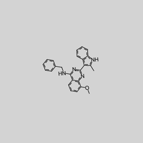 COc1cccc2c(NCc3ccccc3)nc(-c3c(C)[nH]c4ccccc34)nc12